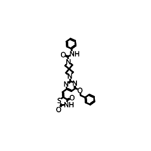 O=C1NC(=O)/C(=C\c2cc(OCc3ccccc3)nc(N3CC4(CN(C(=O)Nc5ccccc5)C4)C3)n2)S1